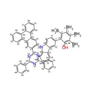 Bc1c(B)c(B)c(-c2ccc3c(c2)c2ccccc2n3-c2cc3c4ccccc4c4ccccc4c3cc2-c2nc(-c3ccccc3)nc(-c3ccccc3)n2)c(O)c1B